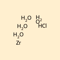 Cl.O.O.O.O.[Zr]